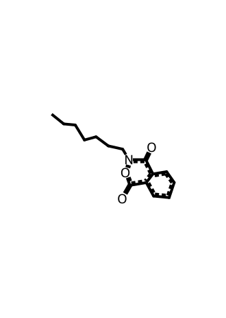 CCCCCCCn1oc(=O)c2ccccc2c1=O